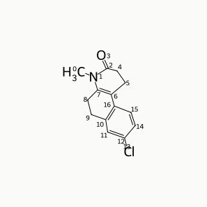 CN1C(=O)CCC2=C1CCc1cc(Cl)ccc12